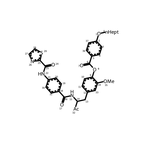 CCCCCCCOc1ccc(C(=O)Oc2ccc(CC(NC(=O)c3ccc(NC(=O)c4nccs4)cc3)C(C)=O)cc2OC)cc1